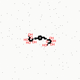 OC[C@H]1O[C@H](CC=Cc2ccc(C#C[C@H]3O[C@H](CO)[C@@H](O)[C@H](O)[C@@H]3O)cc2)[C@@H](O)[C@@H](O)[C@@H]1O